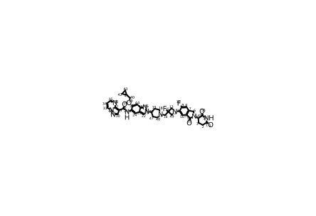 O=C1CCC(N2Cc3cc(F)c(N4CC(F)(CN5CCC(n6cc7cc(NC(=O)c8cnn9cccnc89)c(OCC8CC8)cc7n6)CC5)C4)cc3C2=O)C(=O)N1